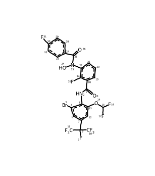 O=C(Nc1c(Br)cc(C(F)(C(F)(F)F)C(F)(F)F)cc1OC(F)F)c1cccc(N(O)C(=O)c2ccc(F)cc2)c1F